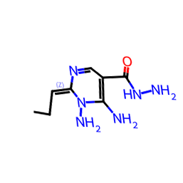 CC/C=C1/N=CC(C(=O)NN)=C(N)N1N